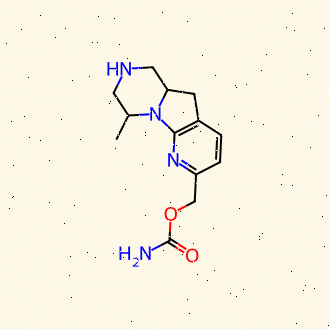 CC1CNCC2Cc3ccc(COC(N)=O)nc3N12